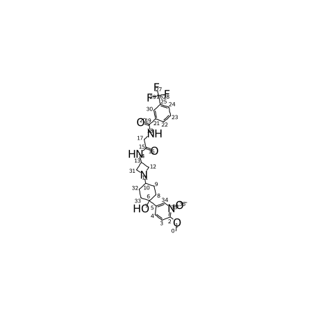 COc1ccc(C2(O)CCC(N3CC(NC(=O)CNC(=O)c4cccc(C(F)(F)F)c4)C3)CC2)c[n+]1[O-]